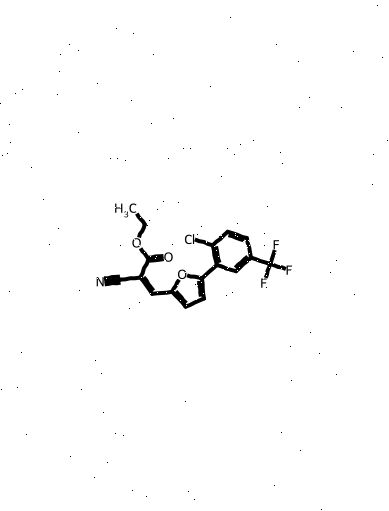 CCOC(=O)C(C#N)=Cc1ccc(-c2cc(C(F)(F)F)ccc2Cl)o1